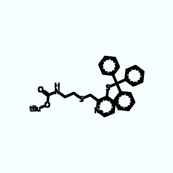 CC(C)(C)OC(=O)NCCSCc1ncccc1SC(c1ccccc1)(c1ccccc1)c1ccccc1